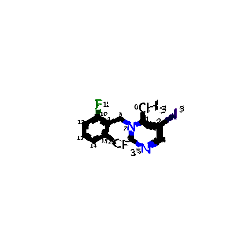 CC1=C(I)C=NCN1Cc1c(F)cccc1C(F)(F)F